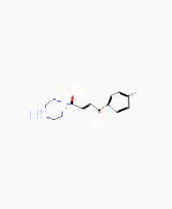 O=C(/C=C/C(=O)N1CCNCC1)c1ccc(F)cc1